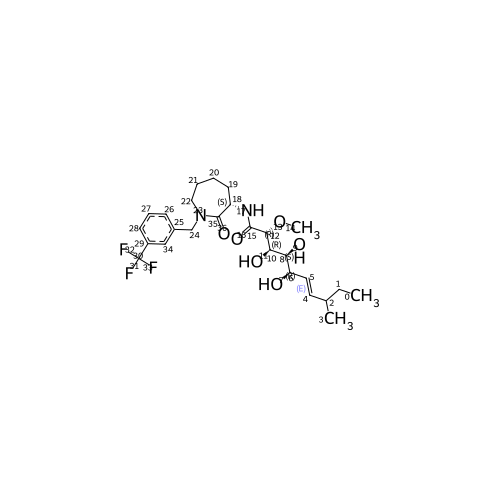 CCC(C)/C=C/[C@@H](O)[C@H](O)[C@@H](O)[C@@H](OC)C(=O)N[C@H]1CCCCN(Cc2cccc(C(F)(F)F)c2)C1=O